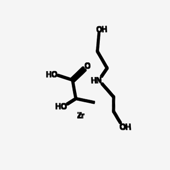 CC(O)C(=O)O.OCCNCCO.[Zr]